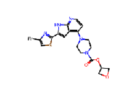 CC(C)c1csc(-c2cc3c(N4CCN(C(=O)OC5COC5)CC4)ccnc3[nH]2)n1